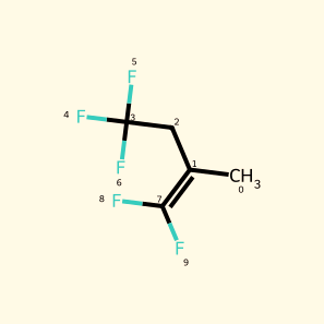 CC(CC(F)(F)F)=C(F)F